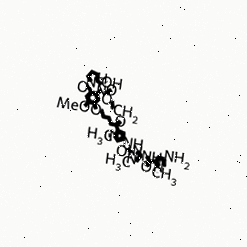 C=CCOC(=O)N1c2cc(OCCCCC(=O)c3cc(NC(=O)c4nc(NC(=O)c5cc(N)cn5C)cn4C)cn3C)c(OC)cc2C(=O)N2CCC[C@H]2[C@@H]1O